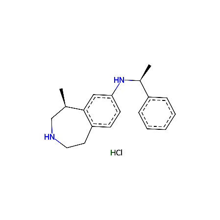 C[C@@H]1CNCCc2ccc(N[C@@H](C)c3ccccc3)cc21.Cl